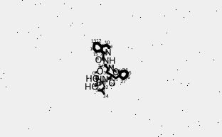 COC[C@H](NC(=O)c1nccc2ccccc12)C1=NOC(Cc2ccccc2)(C(=O)N[C@@H](CC(C)C)B(O)O)C1